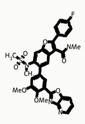 CNC(=O)c1c(-c2ccc(F)cc2)oc2cc(N(C)S(C)(=O)=O)c(-c3cc(OC)c(OC)c(-c4nc5ncccc5o4)c3)cc12